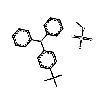 CC(C)(C)c1ccc([S+](c2ccccc2)c2ccccc2)cc1.COS(=O)(=O)[O-]